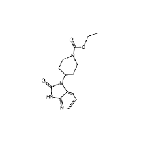 CCOC(=O)N1CCC(n2c(=O)[nH]c3ncccc32)CC1